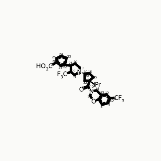 CC(C)[C@]1(C(=O)N2COc3ccc(C(F)(F)F)cc3C2)CC[C@@H](N2CCC(c3cccc(C(=O)O)c3)C(C(F)(F)F)C2)C1